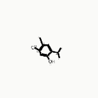 Cc1cc(C(C)C)c(O)cc1Cl